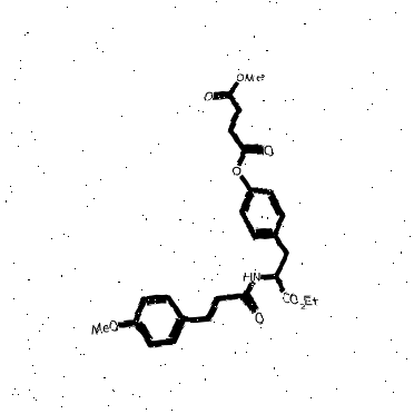 CCOC(=O)C(Cc1ccc(OC(=O)CCC(=O)OC)cc1)NC(=O)CCc1ccc(OC)cc1